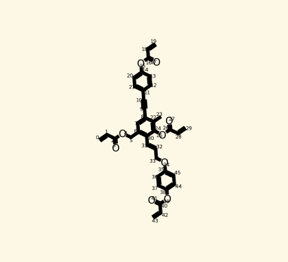 C=CC(=O)OCc1cc(C#Cc2ccc(OC(=O)C=C)cc2)c(C)c(OC(=O)C=C)c1/C=C/COc1ccc(OC(=O)C=C)cc1